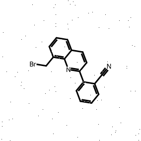 N#Cc1ccccc1-c1ccc2cccc(CBr)c2n1